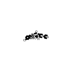 COCC12CN(S(=O)(=O)c3cc4ccc(Cl)cc4s3)CC(=O)N1CC1(CCN(c3ccncc3)CC1)N2